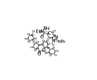 CCCc1nc2c(C)cc(C(=O)N(S)CC)cc2n1Cc1ccc(-c2ccccc2C(=O)OCc2ccccc2)cc1.Cc1ccccc1